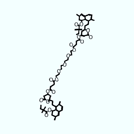 CCC(C)(C)C(=O)OC1CC(C)C=C2C=CC(C)C(CCC3CC(OC(=O)CCC(=O)OCCOCCOCCOCCOC(=O)CCC(=O)OC4CC(=O)OC(CCC5C(C)C=CC6=CC(C)CC(OC(=O)C(C)(C)CC)C65)C4)CC(=O)O3)C21